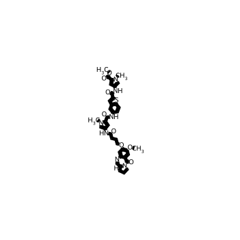 COC(=O)c1cc(NC(=O)c2cc3cc(NC(=O)c4cc(NC(=O)CCCOc5cc6c(cc5OC)C(=O)N5CCC[C@H]5C=N6)cn4C)ccc3s2)cn1C